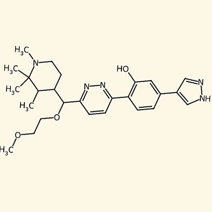 COCCOC(c1ccc(-c2ccc(-c3cn[nH]c3)cc2O)nn1)C1CCN(C)C(C)(C)C1C